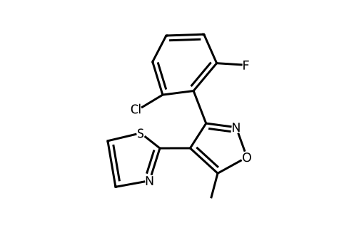 Cc1onc(-c2c(F)cccc2Cl)c1-c1nccs1